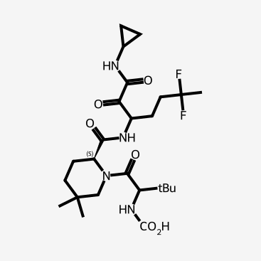 CC(F)(F)CCC(NC(=O)[C@@H]1CCC(C)(C)CN1C(=O)C(NC(=O)O)C(C)(C)C)C(=O)C(=O)NC1CC1